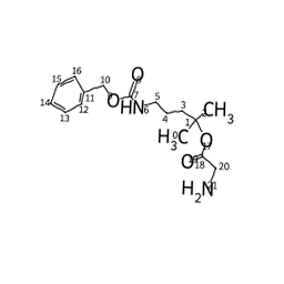 CC(C)(CCCNC(=O)OCc1ccccc1)OC(=O)CN